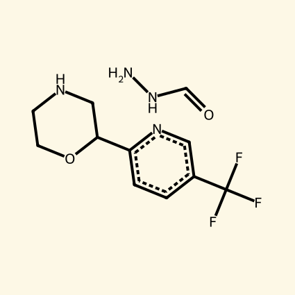 FC(F)(F)c1ccc(C2CNCCO2)nc1.NNC=O